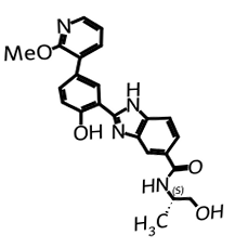 COc1ncccc1-c1ccc(O)c(-c2nc3cc(C(=O)N[C@@H](C)CO)ccc3[nH]2)c1